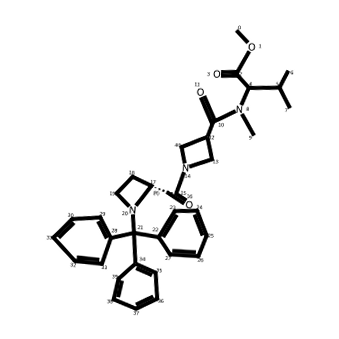 COC(=O)C(C(C)C)N(C)C(=O)C1CN(C(=O)[C@H]2CCN2C(c2ccccc2)(c2ccccc2)c2ccccc2)C1